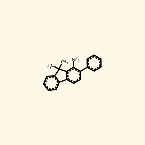 CC1(C)c2ccccc2-c2ccc(-c3ccccc3)c(N)c21